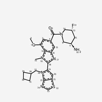 COc1cc(C(=O)N2C[C@H](N)C[C@@H](F)C2)cc2nc(-c3cc4scnc4n3CC3CCC3)n(C)c12